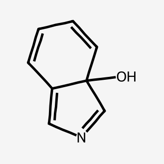 OC12C=CC=CC1=CN=C2